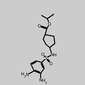 CC(C)OC(=O)C1CCC(NS(=O)(=O)c2ccc(N)c(N)c2)CC1